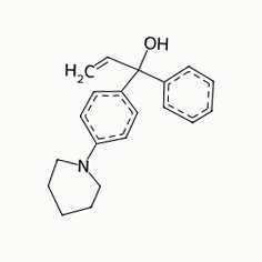 C=CC(O)(c1ccccc1)c1ccc(N2CCCCC2)cc1